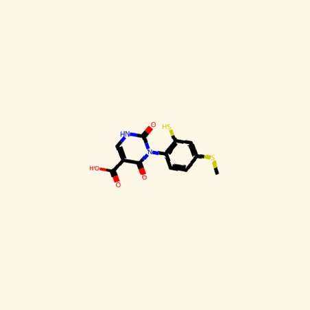 CSc1ccc(-n2c(=O)[nH]cc(C(=O)O)c2=O)c(S)c1